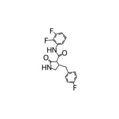 O=C1NCC(Cc2ccc(F)cc2)C1C(=O)Nc1cccc(F)c1F